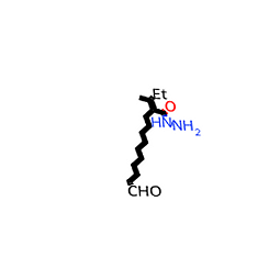 CCC(C)=C(CCCCCCCCCC=O)C(=O)NN